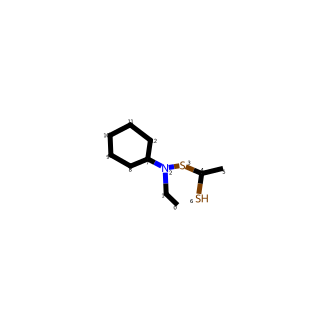 CCN(SC(C)S)C1CCCCC1